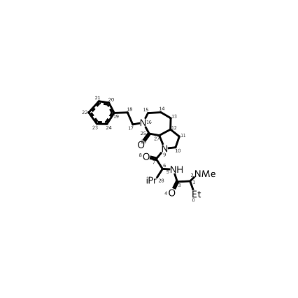 CCC(NC)C(=O)NC(C(=O)N1CCC2CCCN(CCc3ccccc3)C(=O)C21)C(C)C